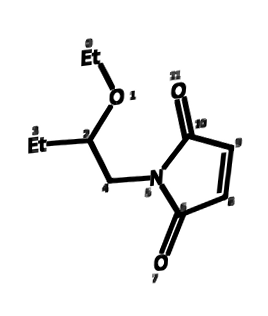 CCOC(CC)CN1C(=O)C=CC1=O